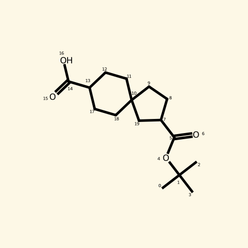 CC(C)(C)OC(=O)C1CCC2(CCC(C(=O)O)CC2)C1